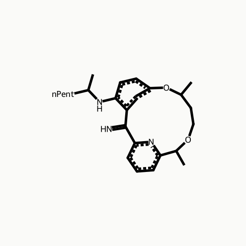 CCCCCC(C)Nc1ccc2cc1C(=N)c1cccc(n1)C(C)OCCC(C)O2